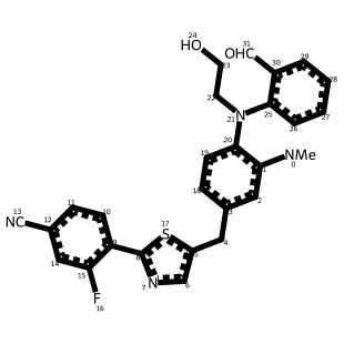 CNc1cc(Cc2cnc(-c3ccc(C#N)cc3F)s2)ccc1N(CCO)c1ccccc1C=O